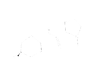 CC(=O)N1CCC[C@H]1C(=O)N[C@H]1CC[C@H](C(C)=O)CC1